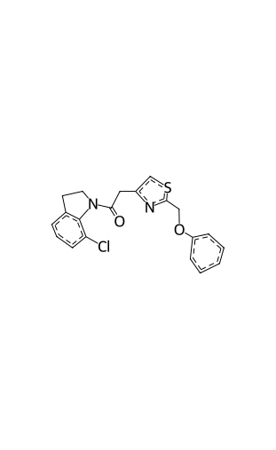 O=C(Cc1csc(COc2ccccc2)n1)N1CCc2cccc(Cl)c21